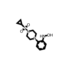 O=S(=O)(C1CC1)N1CCN(c2ccccc2NO)CC1